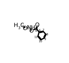 CONOC(=O)c1ccccc1